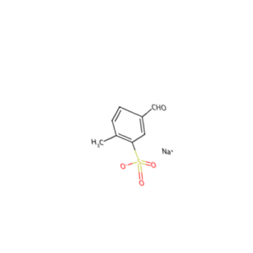 Cc1ccc(C=O)cc1S(=O)(=O)[O-].[Na+]